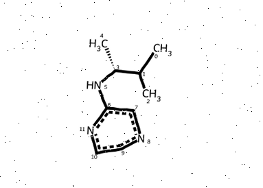 CC(C)[C@@H](C)Nc1cnccn1